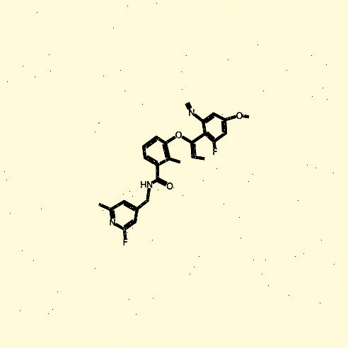 C=Nc1cc(OC)cc(F)c1/C(=C\C)Oc1cccc(C(=O)NCc2cc(C)nc(F)c2)c1C